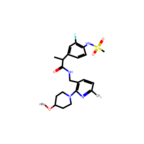 CCCCOC1CCN(c2nc(C(F)(F)F)ccc2CNC(=O)C(C)c2ccc(NS(C)(=O)=O)c(F)c2)CC1